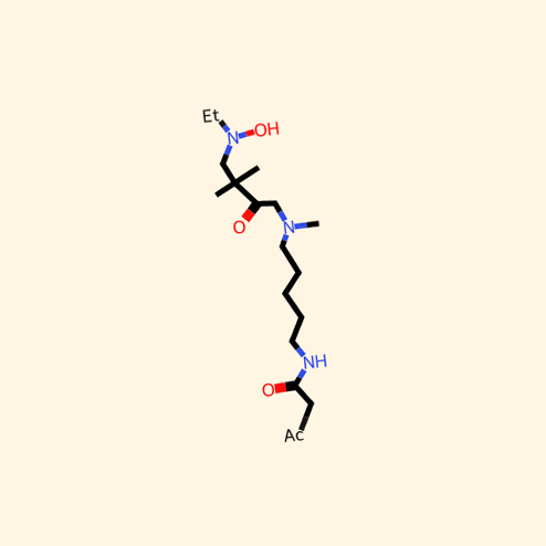 CCN(O)CC(C)(C)C(=O)CN(C)CCCCCNC(=O)CC(C)=O